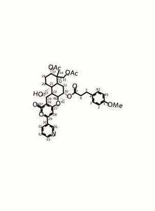 COc1ccc(CCC(=O)O[C@H]2CC3C(C)(COC(C)=O)[C@@H](OC(C)=O)CC[C@]3(C)C3[C@@H](O)c4c(cc(-c5cccnc5)oc4=O)O[C@@]32C)cc1